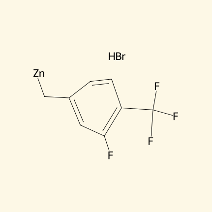 Br.Fc1cc([CH2][Zn])ccc1C(F)(F)F